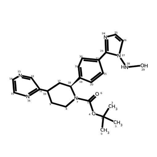 CC(C)(C)OC(=O)N1CCC(c2cnccn2)C[C@H]1c1ccc(-c2nccn2NO)cc1